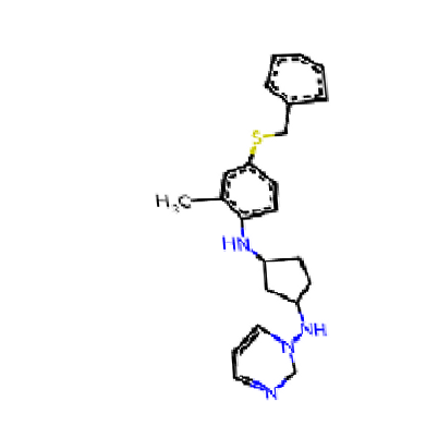 Cc1cc(SCc2ccccc2)ccc1NC1CCC(NN2C=CC=NC2)C1